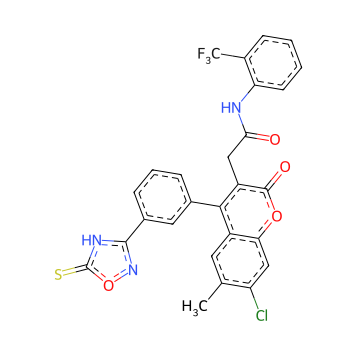 Cc1cc2c(-c3cccc(-c4noc(=S)[nH]4)c3)c(CC(=O)Nc3ccccc3C(F)(F)F)c(=O)oc2cc1Cl